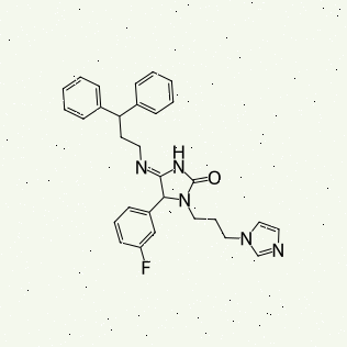 O=C1NC(=NCCC(c2ccccc2)c2ccccc2)C(c2cccc(F)c2)N1CCCn1ccnc1